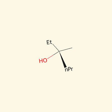 CCC[C@@](C)(O)CC